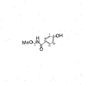 COCNC(=O)c1ccc(O)cc1